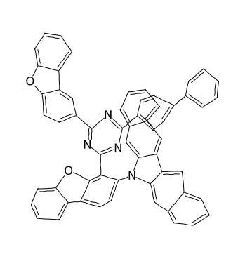 c1ccc(-c2ccc(-c3nc(-c4ccc5oc6ccccc6c5c4)nc(-c4c(-n5c6cc7ccccc7cc6c6cc7ccccc7cc65)ccc5c4oc4ccccc45)n3)cc2)cc1